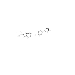 N=C(N)c1cc2ccc(OCc3ccc(-n4cccn4)cc3)cc2s1